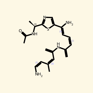 C=C(/C=C\C=C(/N)c1cnc([C@H](C)NC(C)=O)s1)NC(=C)/C=C(C)\C=C/N